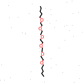 CCCCCOCCOCCOCCOCCOCCOCCCCC